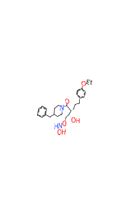 CCOc1ccc(CCC[C@@H](C(=O)N2CCC(Cc3ccccc3)CC2)[C@H](O)CONO)cc1